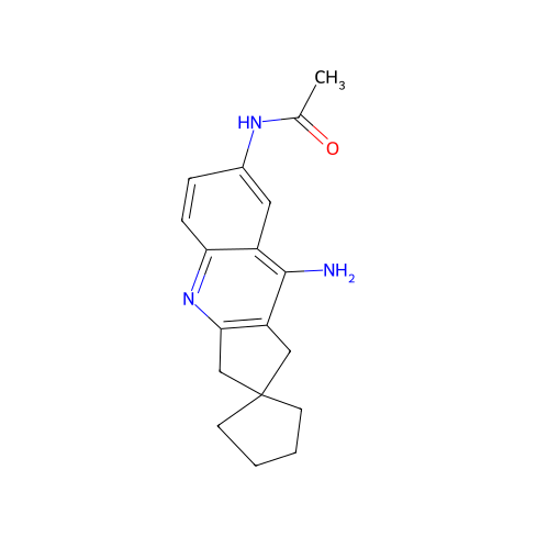 CC(=O)Nc1ccc2nc3c(c(N)c2c1)CC1(CCCC1)C3